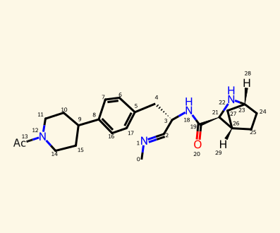 C/N=C/[C@H](Cc1ccc(C2CCN(C(C)=O)CC2)cc1)NC(=O)[C@H]1N[C@@H]2CC[C@H]1C2